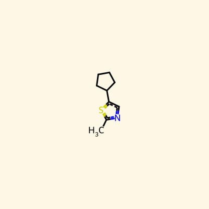 Cc1ncc(C2CCCC2)s1